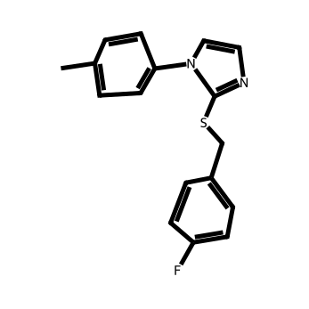 Cc1ccc(-n2ccnc2SCc2ccc(F)cc2)cc1